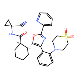 N#CC1(NC(=O)[C@@H]2CCCC[C@H]2c2oc(-c3ccccn3)nc2-c2ccccc2N2CCS(=O)(=O)CC2)CC1